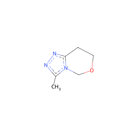 Cc1nnc2n1COCC2